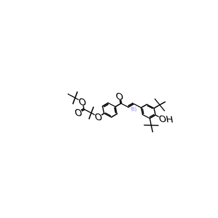 CC(C)(C)OC(=O)C(C)(C)Oc1ccc(C(=O)/C=C/c2cc(C(C)(C)C)c(O)c(C(C)(C)C)c2)cc1